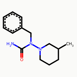 CC1CCCN(N(Cc2ccccc2)C(N)=O)C1